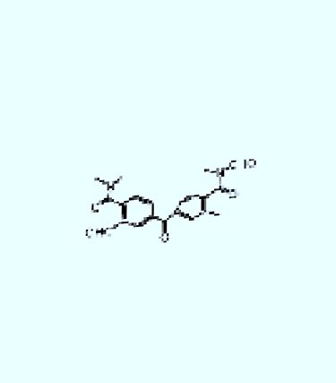 Cc1cc(C(=O)c2ccc(C(=O)N(C)C)c(C=O)c2)ccc1C(=O)N(C)C=O